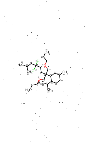 CCCOCC(CCC(Cl)(Cl)CC(C)C)(COCCC)C1CC(C)CCC1C(C)C